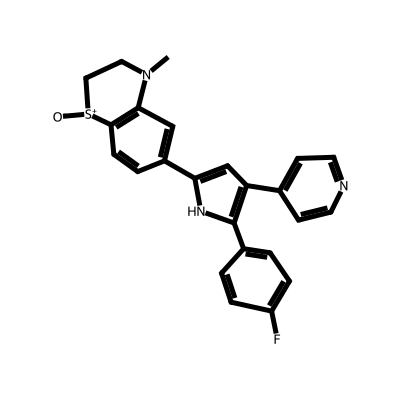 CN1CC[S+]([O-])c2ccc(-c3cc(-c4ccncc4)c(-c4ccc(F)cc4)[nH]3)cc21